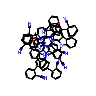 Cc1cc(C)nc(-c2c(-n3c4cc(-c5ccccc5C#N)ccc4c4ccc(-c5ccccc5C#N)cc43)cc(C#N)cc2-n2c3cc(-c4ccccc4C#N)ccc3c3ccc(-c4c(C#N)cccc4-c4ccc5c(c4)c4cc(-c6ccccc6C#N)ccc4n5-c4cc(C#N)cc(-n5c6ccccc6c6cc(-c7ccccc7C#N)ccc65)c4-c4nc(-c5ccccc5)cc(-c5ccccc5)n4)cc32)n1